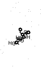 C=N[C@@H](Cc1ccc(O)cc1C)C(=O)N[C@@H]1CCNc2c(-c3cc4ccccc4o3)cc(Cc3ccccc3)cc21